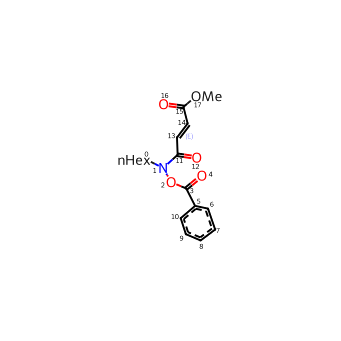 CCCCCCN(OC(=O)c1ccccc1)C(=O)/C=C/C(=O)OC